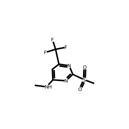 CNc1cc(C(F)(F)F)nc(S(C)(=O)=O)n1